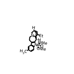 CCC1C[C@H]2C[C@H]3c4c(c5cc(C)ccc5n4P(=O)(OC)OC)CCN(C2)C13